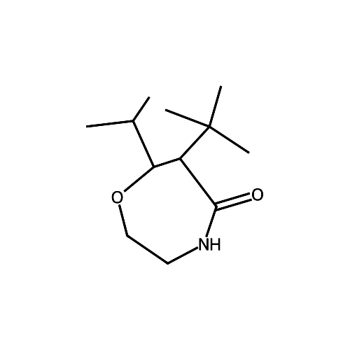 CC(C)C1OCCNC(=O)C1C(C)(C)C